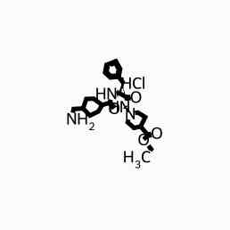 CCOC(=O)C1CCN(NC(=O)[C@H](Cc2ccccc2)NC(=O)C2CCC(CN)CC2)CC1.Cl